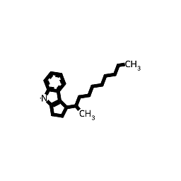 CCCCCCCCC(C)C1CCC2=C1c1ccccc1[N]2